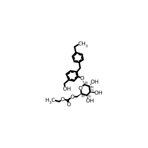 CCOC(=O)OC[C@H]1O[C@H](Oc2cc(CO)ccc2Cc2ccc(CC)cc2)[C@H](O)[C@@H](O)[C@@H]1O